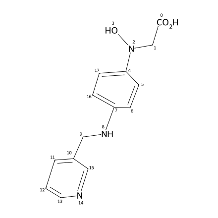 O=C(O)CN(O)c1ccc(NCc2cccnc2)cc1